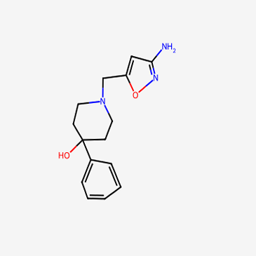 Nc1cc(CN2CCC(O)(c3ccccc3)CC2)on1